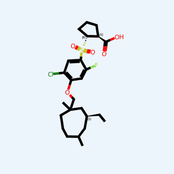 CC[C@H]1CC(C)CCCC(C)(COc2cc(F)c(S(=O)(=O)[C@@H]3CCC[C@H]3C(=O)O)cc2Cl)C1